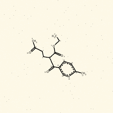 CCOC(=O)C(CCC(C)=O)C(=O)c1ccc(C)nc1